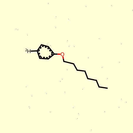 [2H]c1ccc(OCCCCCCCC)cc1